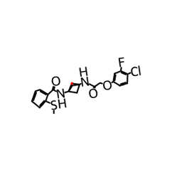 CSc1ccccc1C(=O)NC12CC(NC(=O)COc3ccc(Cl)c(F)c3)(C1)C2